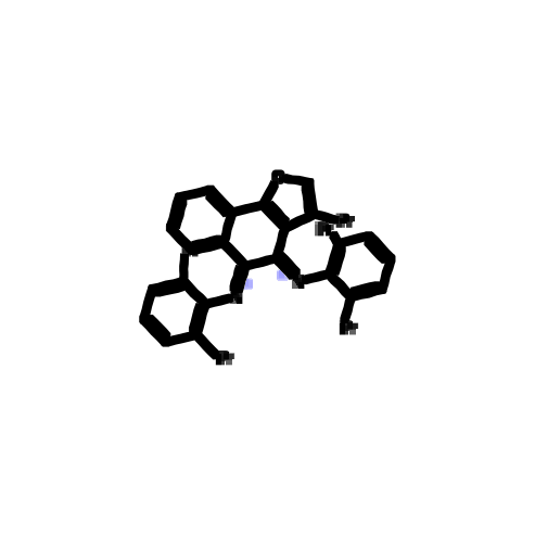 CC(C)c1cccc(C(C)C)c1/N=C1/C(=N/c2c(C(C)C)cccc2C(C)C)c2c(C(C)C)coc2-c2ccccc21